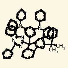 CC1(C)c2ccccc2-c2cc3c(cc21)-c1ccccc1C3(c1cc(N(c2ccccc2)c2ccccc2)cc(N(c2ccccc2)c2ccccc2)c1)c1nc(-c2ccccc2)nc(-c2ccccc2)n1